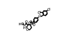 COC1(C(=O)NO)COCCC1S(=O)(=O)c1ccc(OCc2ccc(Cl)cc2Cl)cc1